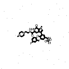 CCS(=O)(=O)Nc1ccc(Oc2ccc(F)cc2F)c(-c2cn(C)c3c(=O)[nH]c(C(=O)NCCN4CCN(C)CC4)cc23)c1